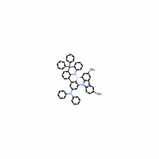 CC(C)(C)c1ccc2c(c1)c1cc(C(C)(C)C)cc3c1n2-c1cc(N(c2ccccc2)c2ccccc2)cc2c1B3N1c3ccccc3C(c3ccccc3)(c3ccccc3)c3cccc-2c31